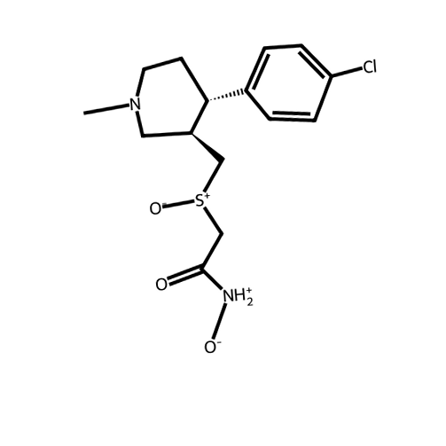 CN1CC[C@H](c2ccc(Cl)cc2)[C@@H](C[S+]([O-])CC(=O)[NH2+][O-])C1